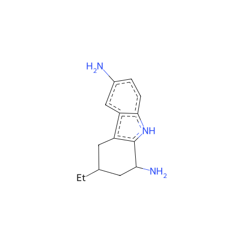 CCC1Cc2c([nH]c3ccc(N)cc23)C(N)C1